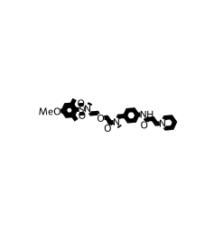 COc1cc(C)c(S(=O)(=O)N(C)CCOCC(=O)N(C)CC2CCC(NC(=O)CCN3CCCCC3)CC2)c(C)c1